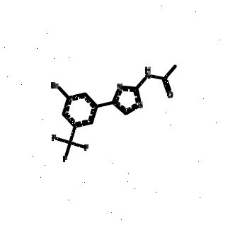 CC(=O)Nc1nc(-c2cc(Br)cc(C(F)(F)F)c2)cs1